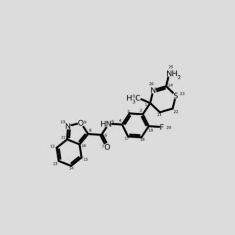 CC1(c2cc(NC(=O)c3onc4ccccc34)ccc2F)CCSC(N)=N1